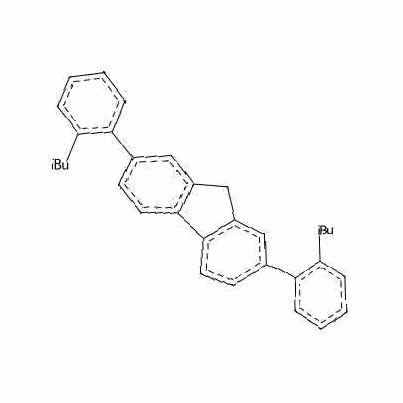 CCC(C)c1ccccc1-c1ccc2c(c1)Cc1cc(-c3ccccc3C(C)CC)ccc1-2